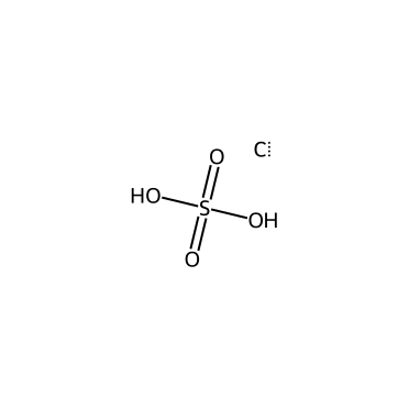 O=S(=O)(O)O.[C]